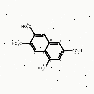 O=C(O)c1cc(C(=O)O)c2cc(C(=O)O)c(C(=O)O)cc2c1